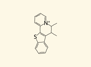 CC1c2c(sc3ccccc23)-c2cccc[n+]2C1C